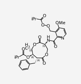 COc1ccnc(C(=O)N[C@H]2COC(=O)[C@H](Cc3ccccc3)[C@@H](OC(=O)C(C)C)[C@H](C)OC2=O)c1COOC(=O)C(C)C